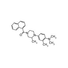 Cc1cc(N2CCN(C(=O)c3cccc4ccccc34)CC2C)ccc1N(C)C